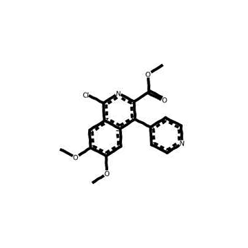 COC(=O)c1nc(Cl)c2cc(OC)c(OC)cc2c1-c1ccncc1